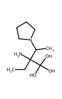 CCC(N)(C(C)N1CCCC1)C(O)(O)O